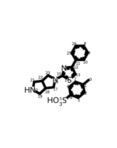 Cc1ccc(S(=O)(=O)O)cc1.c1ccc(-c2csc(N3CC4CNCC4C3)n2)cc1